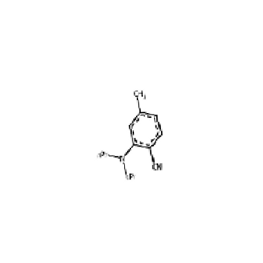 CCCN(CCC)c1cc(C)ccc1C#N